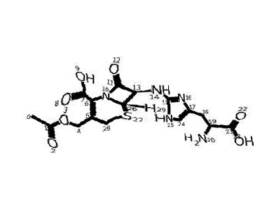 CC(=O)OCC1=C(C(=O)O)N2C(=O)[C@@H](Nc3nc(CC(N)C(=O)O)c[nH]3)[C@@H]2SC1